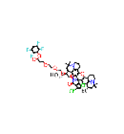 CCC1=CC(C)(C)N2CCCc3c4c(cc1c32)C1(c2cc3c5c(c2O4)CCCN5C(C)(C)C=C3CS(=O)(=O)O)c2c(Cl)ccc(Cl)c2C(=O)N1OCCOCCOCCOCCC(=O)Oc1c(F)c(F)cc(F)c1F